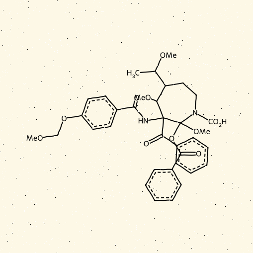 COCOc1ccc(C(=O)NC2(C(=O)c3ccccc3)C(OC)C(C(C)OC)CCN(C(=O)O)C2(OC)OC(=O)c2ccccc2)cc1